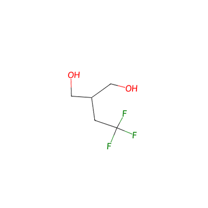 OCC(CO)CC(F)(F)F